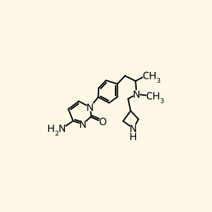 CC(Cc1ccc(-n2ccc(N)nc2=O)cc1)N(C)CC1CNC1